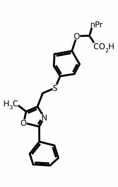 CCCC(Oc1ccc(SCc2nc(-c3ccccc3)oc2C)cc1)C(=O)O